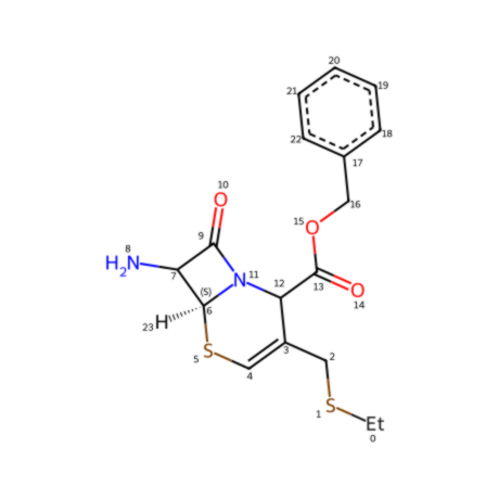 CCSCC1=CS[C@H]2C(N)C(=O)N2C1C(=O)OCc1ccccc1